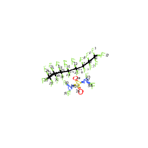 FC(F)(F)C(F)(F)C(F)(F)C(F)(F)C(F)(F)C(F)(F)C(F)(F)C(F)(F)F.O=S(=O)(N(F)F)N(F)F